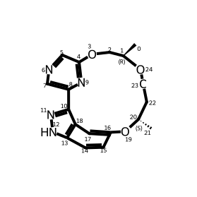 C[C@@H]1COc2cncc(n2)-c2n[nH]c3ccc(cc23)O[C@@H](C)CCO1